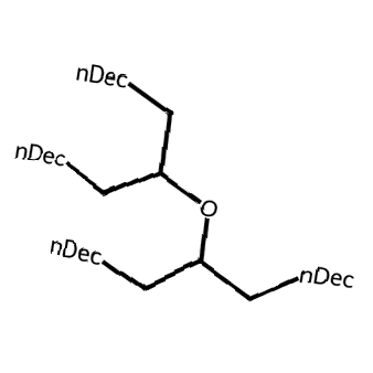 CCCCCCCCCCCC(CCCCCCCCCCC)OC(CCCCCCCCCCC)CCCCCCCCCCC